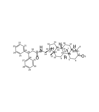 CN1C(=O)CC[C@]2(C)[C@H]3CC[C@]4(C)[C@@H](CNC(=O)CC(c5ccccc5)c5ccccc5)CC[C@H]4[C@@H]3CC[C@@H]12